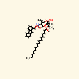 CCCCCCCCCCCCCCCCCC(=O)OC(C)C(C)(COC(=O)[C@@H](NC(=O)OCc1cccc2c1Cc1ccccc1-2)C(C)C)C(=O)O